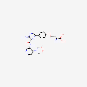 N=C(CCOc1ccc(-c2cnc(N)c(C(=O)Nc3cnccc3N3CCOCC3)n2)cc1)C(=O)O